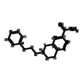 NC(=O)c1n[c]c2c(n1)CN(CCCc1ccccc1)CC2